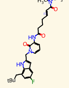 CN(C)C(=O)/C=C/CCCC(=O)Nc1cccn(Cc2cc3cc(F)cc(CC(C)(C)C)c3[nH]2)c1=O